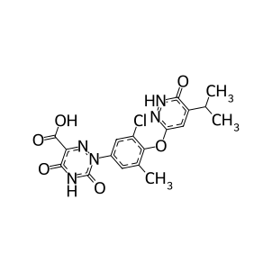 Cc1cc(-n2nc(C(=O)O)c(=O)[nH]c2=O)cc(Cl)c1Oc1cc(C(C)C)c(=O)[nH]n1